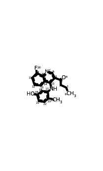 CCCC(=O)c1cnc2c(F)cccc2c1Nc1cc(O)ccc1C